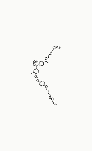 C=C=COOCCCCOc1ccc(OCOc2ccc(C(OO)c3ccc(C(=C)OCCOCCOC)cc3)cc2C)cc1